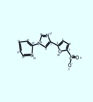 O=[N+]([O-])c1ccc(-c2cn(-c3ccccn3)cn2)o1